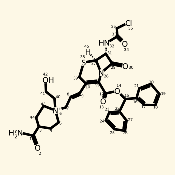 NC(=O)C1CC[N+](CC=CC2=C(C(=O)OC(c3ccccc3)c3ccccc3)N3C(=O)[C@@H](NC(=O)CCl)[C@@H]3SC2)(CCO)CC1